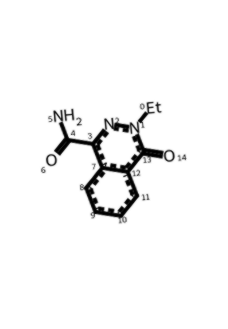 CCn1nc(C(N)=O)c2ccccc2c1=O